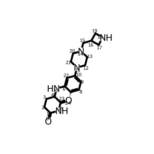 O=C1CCC(Nc2cccc(N3CCN(CC4CNC4)CC3)c2)C(=O)N1